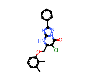 Cc1cccc(OCc2[nH]c3nc(-c4ccccc4)nn3c(=O)c2Cl)c1C